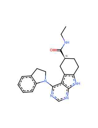 CCNC(=O)[C@H]1CCc2[nH]c3ncnc(N4CCc5ccccc54)c3c2C1